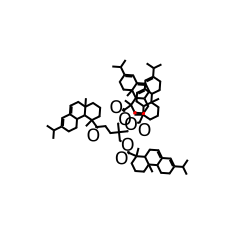 CC(C)C1=CC2=CCC3(C)CCCC(C)(C(=O)CCC(COC(=O)C4(C)CCCC5CC=C6C=C(C(C)C)CCC6(C)C54)(COC(=O)C4(C)CCCC5(C)C6CCC(C(C)C)=CC6=CCC45)COC(=O)C4(C)CCCC5(C)C6CCC(C(C)C)=CC6=CCC45)C3C2CC1